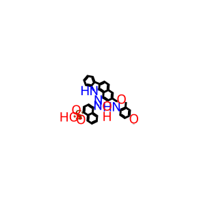 COc1ccc(NC(=O)c2cc3ccc4c5ccccc5[nH]c4c3c(N=Nc3ccc(S(=O)(=O)O)c4ccccc34)c2O)c(C)c1